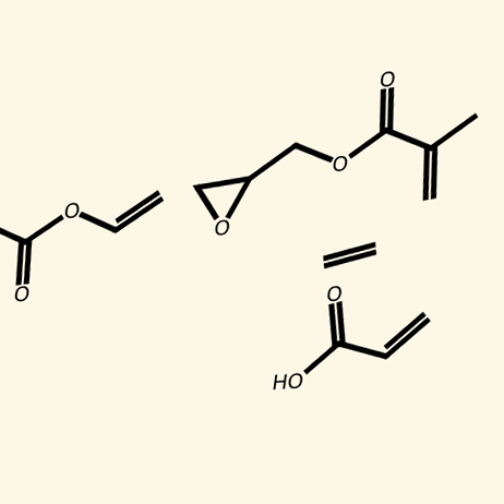 C=C.C=C(C)C(=O)OCC1CO1.C=CC(=O)O.C=COC(C)=O